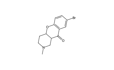 CN1CCC2Oc3ccc(Br)cc3C(=O)C2C1